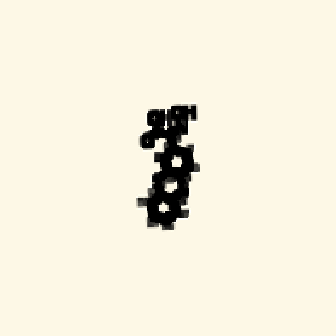 O=C(O)/C(=N\O)c1ccc2c(c1)Sc1ccccc1S2